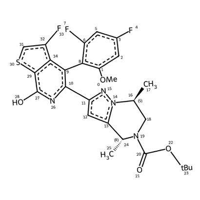 COc1cc(F)cc(F)c1-c1c(-c2cc3n(n2)[C@@H](C)CN(C(=O)OC(C)(C)C)[C@@H]3C)nc(O)c2scc(F)c12